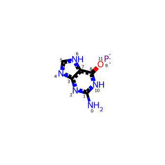 Nc1nc2nc[nH]c2c(=O)[nH]1.[P]